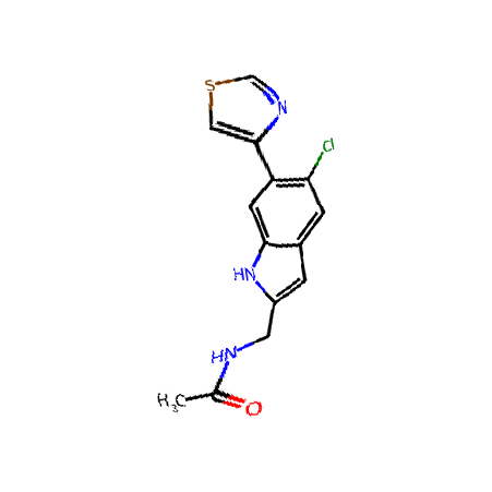 CC(=O)NCc1cc2cc(Cl)c(-c3cscn3)cc2[nH]1